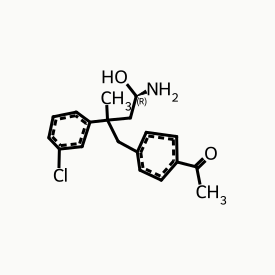 CC(=O)c1ccc(CC(C)(C[C@H](N)O)c2cccc(Cl)c2)cc1